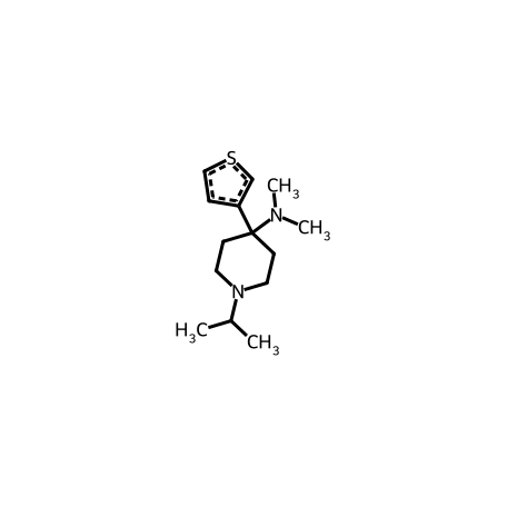 CC(C)N1CCC(c2ccsc2)(N(C)C)CC1